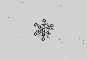 CC1=CC2=C(B3C4=C(N5C6=C(B7C8=C(N9C%10=C(B%11C%12=C(N2c2c3c5c7c9c2%11)C(C)(C)C(c2ccccc2)=C%12)C(C)(C)C(c2ccccc2)=C%10)C(C)(C)C(c2ccccc2)=C8)C(C)(C)C(c2ccccc2)=C6)C(C)(C)C(c2ccccc2)=C4)C1(C)C